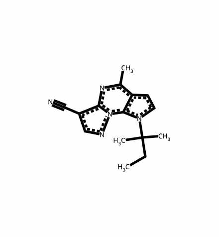 CCC(C)(C)n1ccc2c(C)nc3c(C#N)cnn3c21